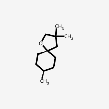 CC1(C)CO[C@]2(CC[C@H](C)CC2)C1